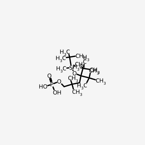 CC(C)(COP(=O)(O)O)CC(O[Si](C)(C)C(C)(C)C)(C(C)(C)C)C(C)(C)C